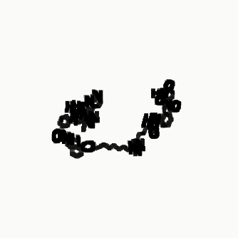 Cn1c(CNc2cccc(C(=O)NCc3cccc(OCCCCCCCn4cc(CCCC(=O)Nc5cccc6c5CN(C5CCC(=O)NC5=O)C6=O)nn4)c3)c2)nnc1-c1ccncn1